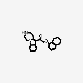 O=C(COc1cccc2c1CCCC2)c1c2n(c3ccccc13)CCNCC2